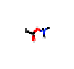 CCC(=O)ON(C)C